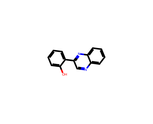 Oc1ccccc1-c1cnc2ccccc2n1